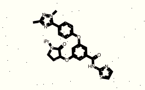 Cc1nc(-c2ccc(Oc3cc(OC4CCN(C(C)C)C4=O)cc(C(=O)Nc4nccs4)c3)cc2)n(C)n1